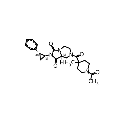 CC(=O)N1CCC(C)(C(=O)N2CCN3C(=O)N([C@H]4C[C@@H]4c4ccccc4)C(=O)[C@@H]3C2)CC1